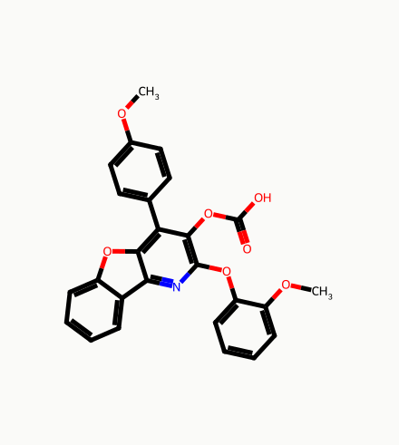 COc1ccc(-c2c(OC(=O)O)c(Oc3ccccc3OC)nc3c2oc2ccccc23)cc1